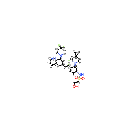 O=S(=O)(C=CO)Nc1ccc(/C(F)=C/c2cc(N3CCC(F)(F)CC3)c3ncccc3c2)c(N2CCC3(CC2)CC3)c1